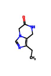 CCc1ncn2c1CNC(=O)C2